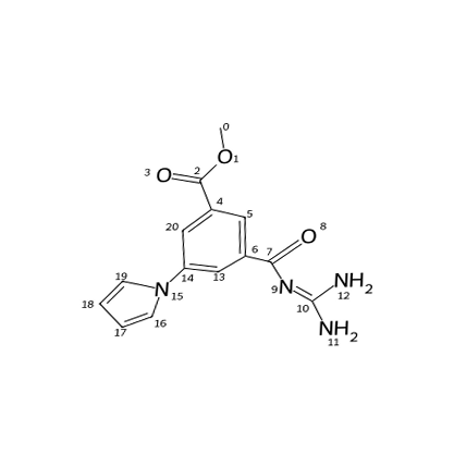 COC(=O)c1cc(C(=O)N=C(N)N)cc(-n2cccc2)c1